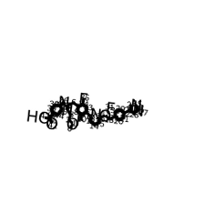 COCCn1c(Cc2cc(F)c(-c3cccc(OCc4ccc(-c5cnn(C)c5)cc4F)n3)cc2F)nc2ccc(C(=O)O)cc21